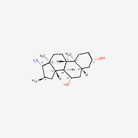 C[C@@H]1C[C@H]2[C@@H]3[C@@H](O)C[C@H]4C[C@@H](O)CC[C@]4(C)[C@H]3CC[C@]2(C)[C@H]1N